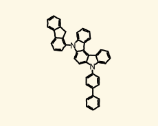 c1ccc(-c2ccc(-n3c4ccccc4c4c5c6ccccc6n(-c6cccc7c6Cc6ccccc6-7)c5ccc43)cc2)cc1